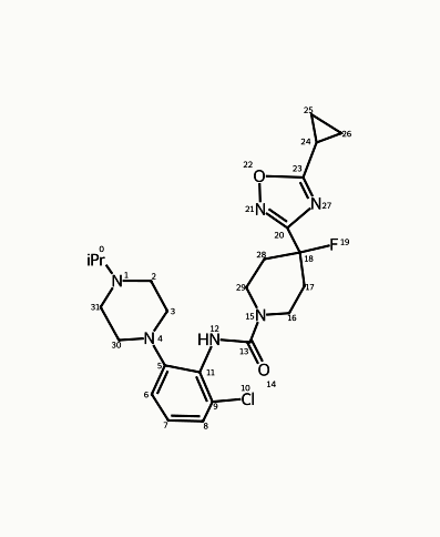 CC(C)N1CCN(c2cccc(Cl)c2NC(=O)N2CCC(F)(c3noc(C4CC4)n3)CC2)CC1